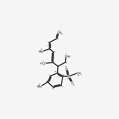 C=C/C=C(\C=C(/C)C(COC(C)=O)c1cc(C(C)(C)C)ccc1S(C)(=O)=O)C(C)(C)C